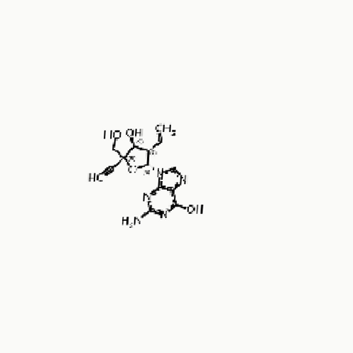 C#C[C@]1(CO)O[C@@H](n2cnc3c(O)nc(N)nc32)[C@H](C=C)[C@@H]1O